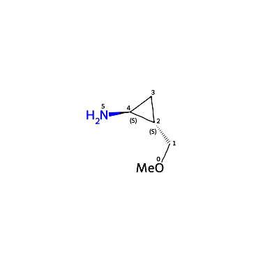 COC[C@H]1C[C@@H]1N